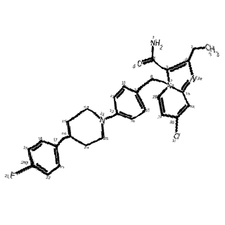 CCC1=C(C(N)=O)[N+]2(Cc3ccc(N4CCC(c5ccc(F)cc5)CC4)cc3)C=CC(Cl)=CC2=N1